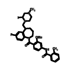 COc1cc(NC(=O)c2ccccc2C)ccc1C(=O)N1CCCC(CN2CCN(C)CC2I)c2cc(F)ccc21